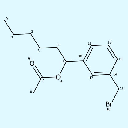 CCCCCC(OC(C)=O)c1cccc(CBr)c1